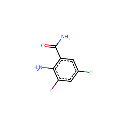 NC(=O)c1cc(Cl)cc(I)c1N